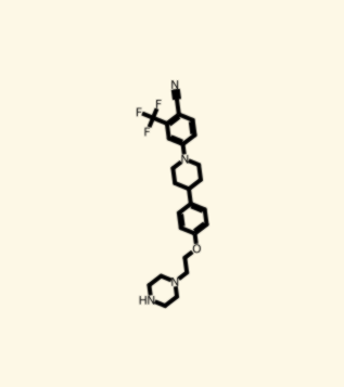 N#Cc1ccc(N2CCC(c3ccc(OCCN4CCNCC4)cc3)CC2)cc1C(F)(F)F